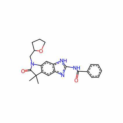 CC1(C)C(=O)N(CC2CCCO2)c2cc3[nH]c(NC(=O)c4ccccc4)nc3cc21